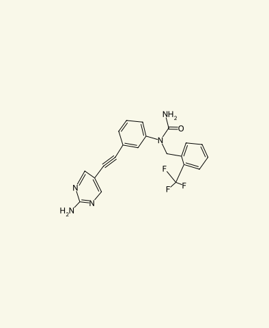 NC(=O)N(Cc1ccccc1C(F)(F)F)c1cccc(C#Cc2cnc(N)nc2)c1